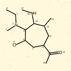 CCN(C)C1C(Cl)CC(C(C)=O)CC(C)C1NC